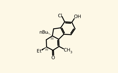 CCCC[C@]12Cc3c(ccc(O)c3Cl)C1=C(C)C(=O)[C@@H](CC)C2